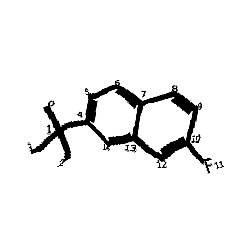 CC(C)(C)c1ccc2ccc(F)cc2c1